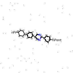 CCCCCc1ccc(-c2ncc(-c3ccc(C4CCC(CCC)CC4)cc3)cn2)cc1